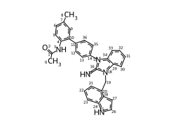 CC(=O)Nc1ccc(C)cc1-c1ccc(-n2c(=N)n(Cc3cccc4[nH]ccc34)c3ccccc32)cc1